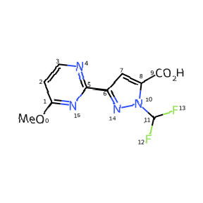 COc1ccnc(-c2cc(C(=O)O)n(C(F)F)n2)n1